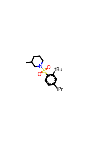 CC1CCCN(S(=O)(=O)c2ccc(C(C)C)cc2C(C)(C)C)C1